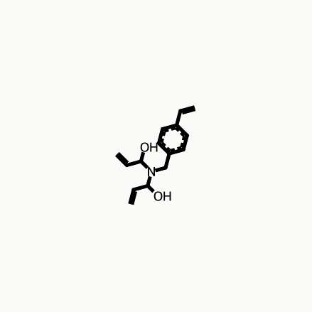 C=Cc1ccc(CN(C(O)C=C)C(O)C=C)cc1